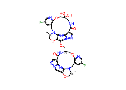 C[C@@H]1COc2cn3ncc4c3nc2N1Cc1cc(F)cnc1OC[C@H](COc1c2c3nc5c(cnn15)C(=O)NCC(O)(O)COc1ncc(F)cc1CN3[C@H](C)CO2)NC4=O